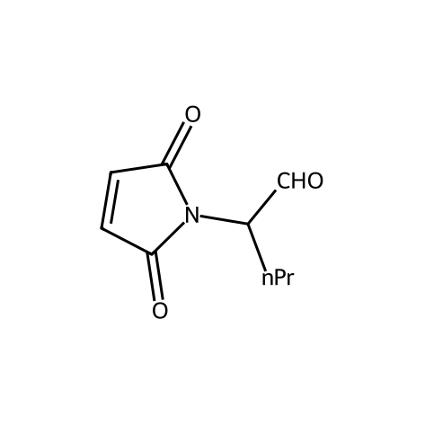 CCCC(C=O)N1C(=O)C=CC1=O